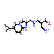 N=C/C(C=O)=C\NCc1cn2cc(C3CC3)ccc2n1